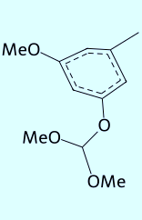 COc1cc(C)cc(OC(OC)OC)c1